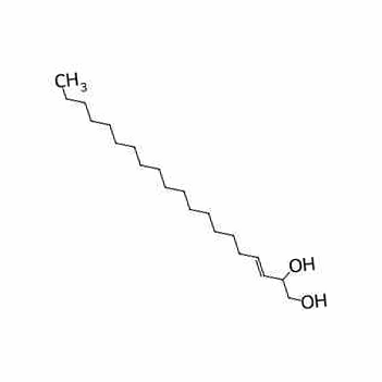 CCCCCCCCCCCCCCCC/C=C/C(O)CO